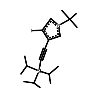 CC(C)[Si](C#Cc1cn(C(C)(C)C)cc1I)(C(C)C)C(C)C